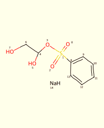 O=S(=O)(OC(O)CO)c1ccccc1.[NaH]